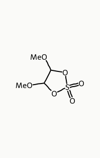 COC1OS(=O)(=O)OC1OC